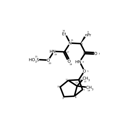 CCC[C@@H](C(=O)NOC1CC2CCC1C2(C)C)N(CC)C(=O)NOS(=O)(=O)O